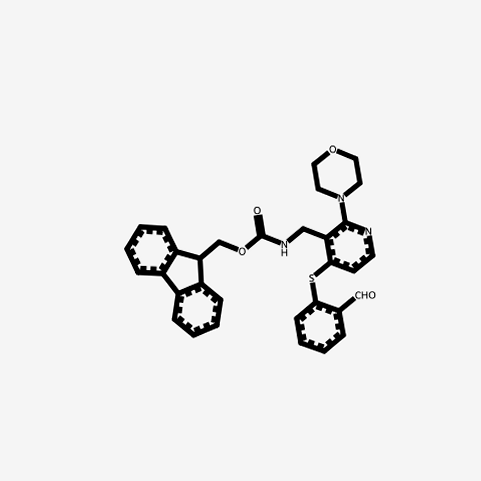 O=Cc1ccccc1Sc1ccnc(N2CCOCC2)c1CNC(=O)OCC1c2ccccc2-c2ccccc21